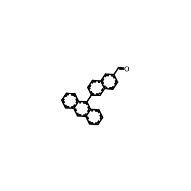 O=Cc1ccc2cc(-c3c4ccccc4cc4ccccc34)ccc2c1